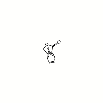 [N-]=[N+]1C2=C3COC(=O)C3=C1C=C2